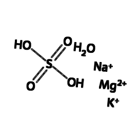 O.O=S(=O)(O)O.[K+].[Mg+2].[Na+]